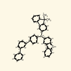 CC1(C)c2ccccc2-c2cc(N(c3ccc(-c4cccc(-c5ccccc5)c4)cc3)c3ccc4oc5ccccc5c4c3)ccc21